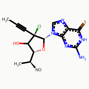 CC#C[C@@]1(Cl)C(O)[C@@H]([C@H](C)N=O)O[C@H]1n1cnc2c(=S)[nH]c(N)nc21